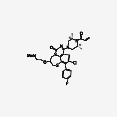 C=CC(=O)N1[C@H](C)CN(c2nc(=O)n3c4c(c(-c5ccc(F)cc5)c(Cl)cc24)SCC(OCCNC)C3)C[C@@H]1C